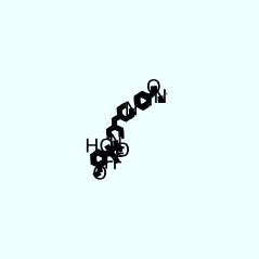 COc1cccc(C(O)(C(=O)N2CCC(CC3CCN(c4ccc(C(=O)N(C)C)cc4)CC3)CC2)C(F)(F)F)c1